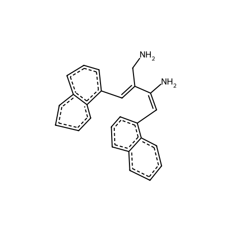 NCC(=C\c1cccc2ccccc12)/C(N)=C\c1cccc2ccccc12